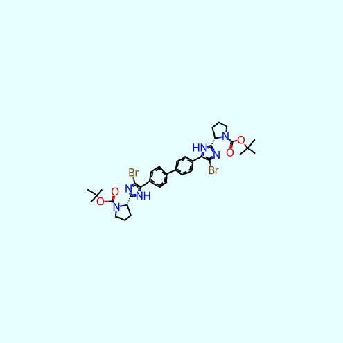 CC(C)(C)OC(=O)N1CCC[C@H]1c1nc(Br)c(-c2ccc(-c3ccc(-c4[nH]c([C@@H]5CCCN5C(=O)OC(C)(C)C)nc4Br)cc3)cc2)[nH]1